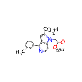 Cc1cccc(-c2nccc3c2cc(C(=O)O)n3CC(=O)OC(C)(C)C)c1